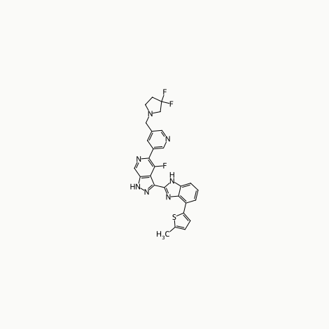 Cc1ccc(-c2cccc3[nH]c(-c4n[nH]c5cnc(-c6cncc(CN7CCC(F)(F)C7)c6)c(F)c45)nc23)s1